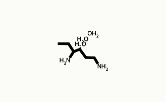 CCC(N)CCCN.O.O.O